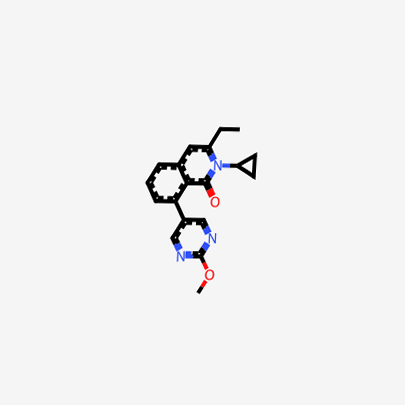 CCc1cc2cccc(-c3cnc(OC)nc3)c2c(=O)n1C1CC1